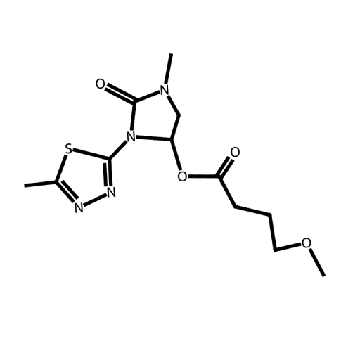 COCCCC(=O)OC1CN(C)C(=O)N1c1nnc(C)s1